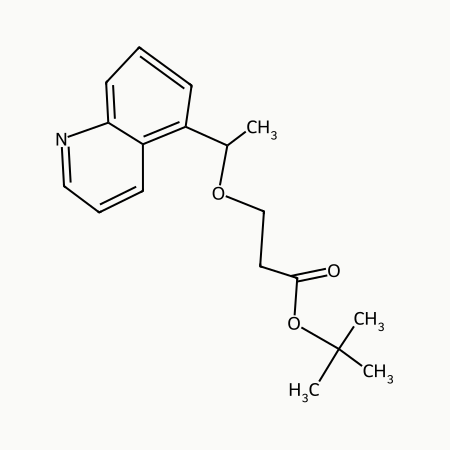 CC(OCCC(=O)OC(C)(C)C)c1cccc2ncccc12